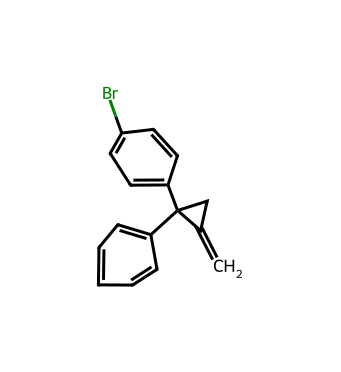 C=C1CC1(c1ccccc1)c1ccc(Br)cc1